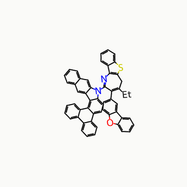 CCC1=C(c2ccc3oc4ccccc4c3c2)C(n2c3cc4ccccc4cc3c3c4c5ccccc5c5ccccc5c4ccc32)=Nc2c(sc3ccccc23)C1